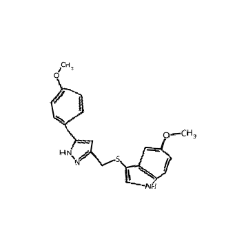 COc1ccc(-c2cc(CSc3c[nH]c4ccc(OC)cc34)n[nH]2)cc1